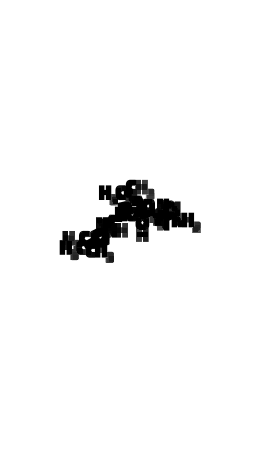 CC(C)N(/C=C1/O[C@@H](n2cnc3c(N)ncnc32)[C@H](O)[C@@H]1O)C1CC(CCc2nc3cc(C(C)(C)C)ccc3[nH]2)C1